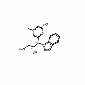 CNC[C@@H](O)[C@H](c1cccc(C)c1)n1ccc2ccccc21.Cl